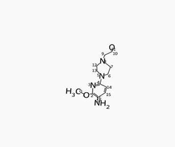 COc1nc(N2CCN(CC=O)CC2)ccc1N